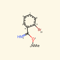 CNOC(=N)c1ccccc1Br